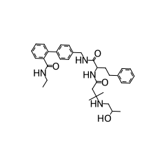 CCNC(=O)c1ccccc1-c1ccc(CNC(=O)C(CCc2ccccc2)NC(=O)CC(C)(C)NCC(C)O)cc1